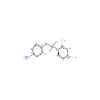 CC(C)(Oc1ccc(N)cc1)c1ccc(F)cc1F